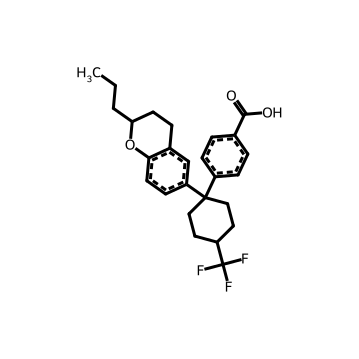 CCCC1CCc2cc(C3(c4ccc(C(=O)O)cc4)CCC(C(F)(F)F)CC3)ccc2O1